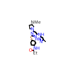 CCC(=O)Nc1ccc(Sc2nc(Nc3cc(C)n[nH]3)cc(N3CC[C@H](NC)C3)n2)cc1